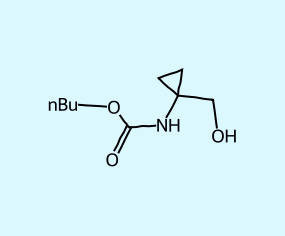 CCCCOC(=O)NC1(CO)CC1